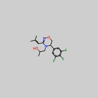 CC(C)=CC1=NOCC(c2cc(F)c(F)c(F)c2)N1CC(C)O